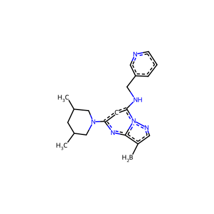 Bc1cnn2c(NCc3cccnc3)cc(N3CC(C)CC(C)C3)nc12